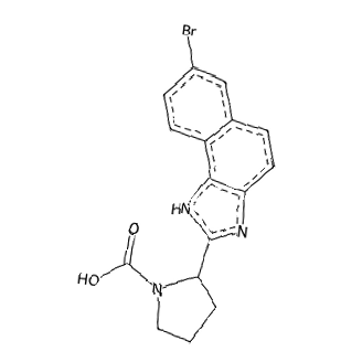 O=C(O)N1CCCC1c1nc2ccc3cc(Br)ccc3c2[nH]1